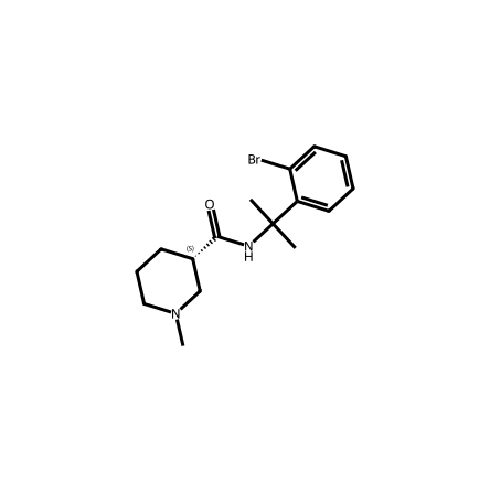 CN1CCC[C@H](C(=O)NC(C)(C)c2ccccc2Br)C1